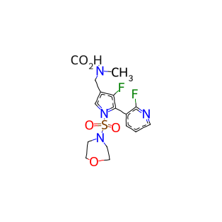 CN(Cc1cn(S(=O)(=O)N2CCOCC2)c(-c2cccnc2F)c1F)C(=O)O